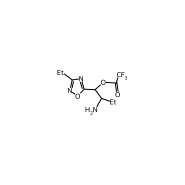 CCc1noc(C(OC(=O)C(F)(F)F)C(N)CC)n1